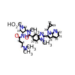 CN(C)C/C=C/C(=O)N[C@@H]1CN(C(=O)O)C[C@H]1N(C)C(=O)c1ccc2c(c1)nc(-c1cc3cccnc3n1CC1CC1)n2C